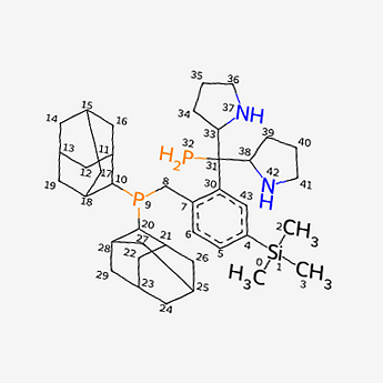 C[Si](C)(C)c1ccc(CP(C2C3CC4CC(C3)CC2C4)C2C3CC4CC(C3)CC2C4)c(C(P)(C2CCCN2)C2CCCN2)c1